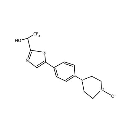 [O-][S+]1CCN(c2ccc(-c3cnc(C(O)C(F)(F)F)s3)cc2)CC1